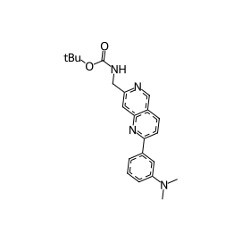 CN(C)c1cccc(-c2ccc3cnc(CNC(=O)OC(C)(C)C)cc3n2)c1